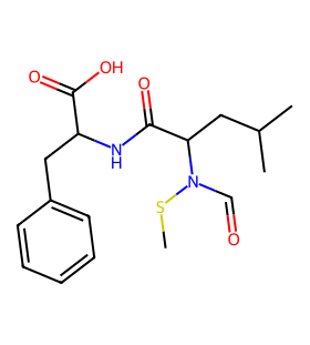 CSN(C=O)C(CC(C)C)C(=O)NC(Cc1ccccc1)C(=O)O